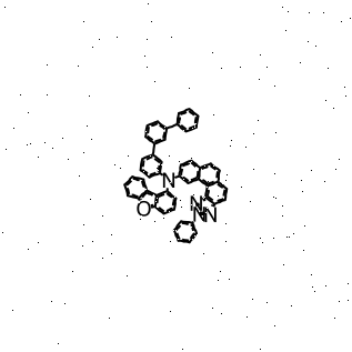 c1ccc(-c2cccc(-c3cccc(N(c4ccc5ccc6ccc7nn(-c8ccccc8)nc7c6c5c4)c4cccc5oc6ccccc6c45)c3)c2)cc1